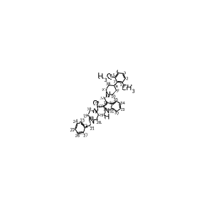 Cc1cccc(C)c1C1CCN(Cc2c(C(=O)N3CCN(Cc4ccccc4)CC3)[nH]c3ccccc23)CC1